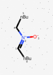 CCCCC=[N+]([O-])CCCCC